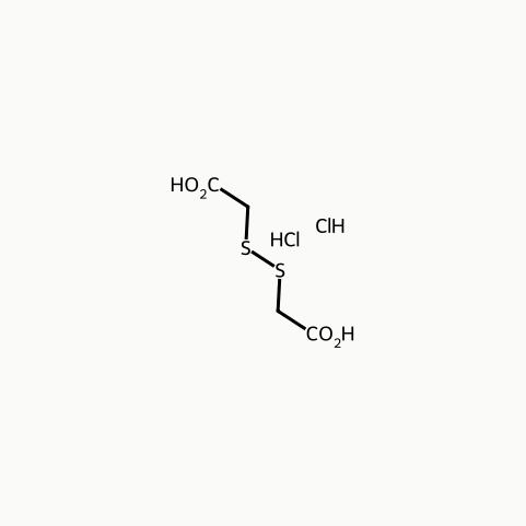 Cl.Cl.O=C(O)CSSCC(=O)O